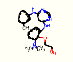 Cc1cccc(Nc2cc(Nc3cccc(N(C)C)c3OCCO)ncn2)c1